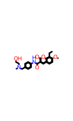 CCc1c(OC)ccc2cc(C(=O)Nc3ccc(CN(C)CCO)cc3)c(=O)oc12